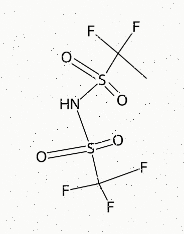 CC(F)(F)S(=O)(=O)NS(=O)(=O)C(F)(F)F